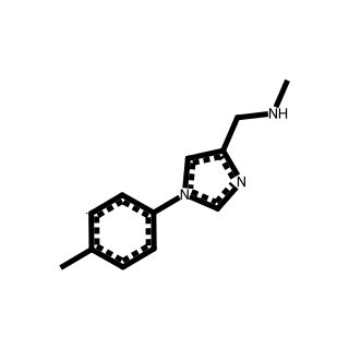 CNCc1cn(-c2c[c]c(C)cc2)cn1